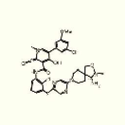 COc1cc(O)cc(C2=CN(C)C(=C=O)C(C(=O)Nc3cccc(Sc4cnc(N5CCC6(CC5)CO[C@@H](C)[C@H]6N)cn4)c3Cl)=C2O)c1